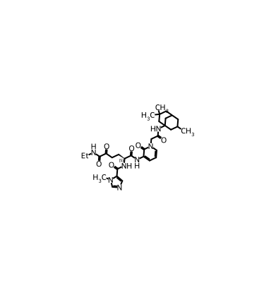 CCNC(=O)C(=O)CC[C@H](NC(=O)c1cncn1C)C(=O)Nc1cccn(CC(=O)NC23CC(C)CC(CC(C)(C)C2)C3)c1=O